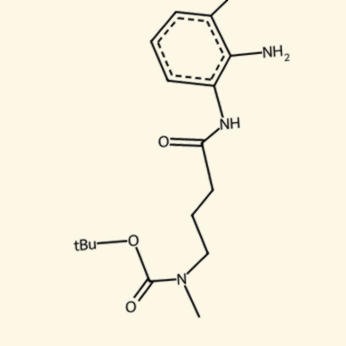 CN(CCCC(=O)Nc1cccc([N+](=O)[O-])c1N)C(=O)OC(C)(C)C